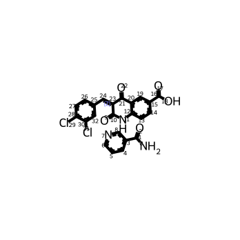 NC(=O)c1cccnc1.O=C1Nc2ccc(C(=O)O)cc2C(=O)/C1=C/c1ccc(Cl)c(Cl)c1